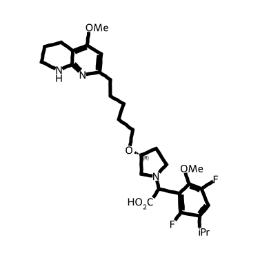 COc1cc(CCCCCO[C@@H]2CCN(C(C(=O)O)c3c(F)c(C(C)C)cc(F)c3OC)C2)nc2c1CCCN2